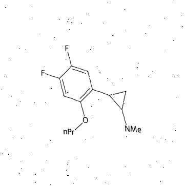 CCCOc1cc(F)c(F)cc1C1CC1NC